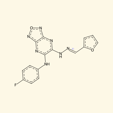 Fc1ccc(Nc2nc3nonc3nc2N/N=C/c2ccco2)cc1